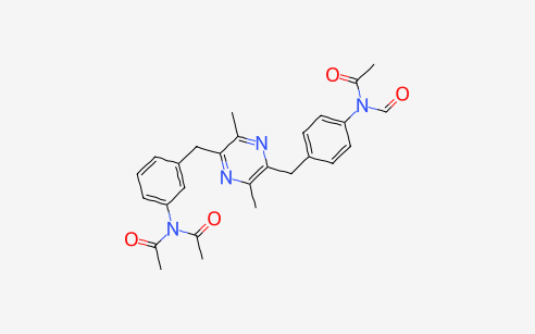 CC(=O)N(C=O)c1ccc(Cc2nc(C)c(Cc3cccc(N(C(C)=O)C(C)=O)c3)nc2C)cc1